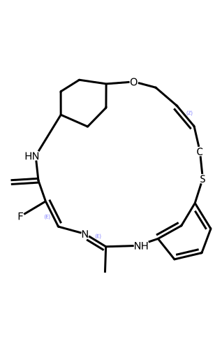 C=C1NC2CCC(CC2)OC/C=C\CSc2cccc(c2)N/C(C)=N/C=C\1F